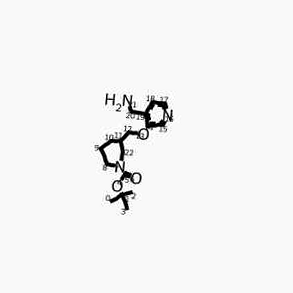 CC(C)(C)OC(=O)N1CCCC(COc2cnccc2CN)C1